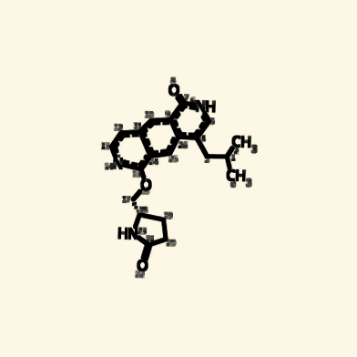 CC(C)Cc1c[nH]c(=O)c2cc3ccnc(OC[C@@H]4CCC(=O)N4)c3cc12